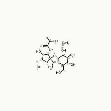 CC(O)C(=O)O[C@H]1[C@H](O)[C@@H](CO)O[C@@]1(CO)O[C@H]1O[C@H](CO)[C@@H](O)[C@H](O)[C@H]1O.[CaH2]